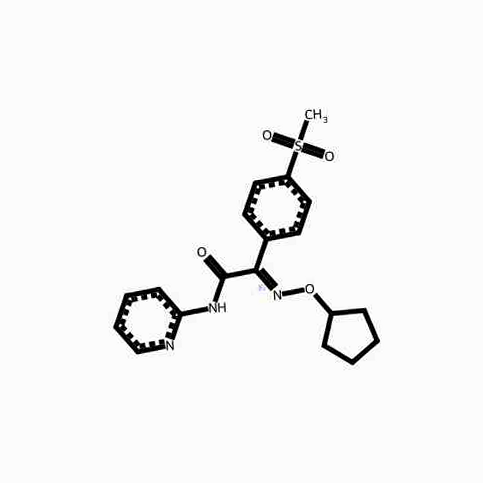 CS(=O)(=O)c1ccc(/C(=N\OC2CCCC2)C(=O)Nc2ccccn2)cc1